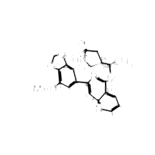 COc1cc(-c2cc3ncccc3c(O[C@H](C)[C@H]3CNC(=O)C3)n2)cc2c1OCO2